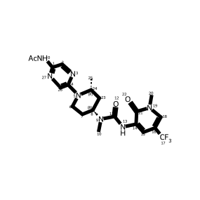 CC(=O)Nc1cnc(N2CC[C@@H](N(C)C(=O)Nc3cc(C(F)(F)F)cn(C)c3=O)C[C@H]2C)cn1